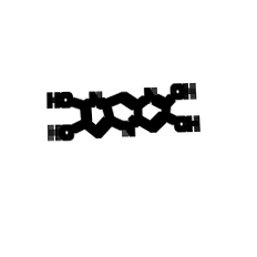 Oc1cc2nc3cc(O)c(O)nc3cc2nc1O